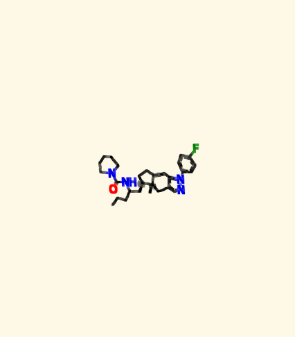 CCCC(C[C@H]1CCC2=Cc3c(cnn3-c3ccc(F)cc3)C[C@@]21C)NC(=O)N1CCCCC1